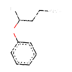 CCC(CCNC)Oc1ccccc1